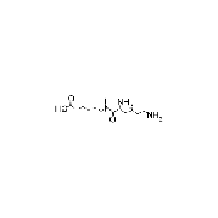 NCCCCC(N)C(=O)NCCCCCC(=O)O